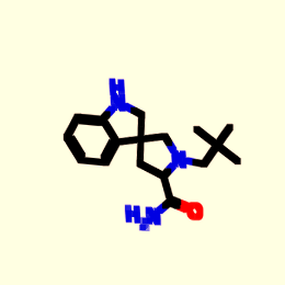 CC(C)(C)CN1CC2(CNc3ccccc32)CC1C(N)=O